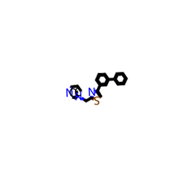 c1ccc(-c2cccc(-c3csc(CN4CCN5CCC4CC5)n3)c2)cc1